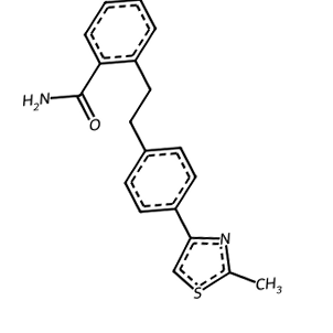 Cc1nc(-c2ccc(CCc3ccccc3C(N)=O)cc2)cs1